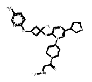 CNCC(=O)N1CC=C(N2C=C(C3CCOC3)N=CC2OC2(C)CC(Nc3ccc(C)cn3)C2)CC1